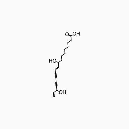 C=CC(O)C#CC#C/C=C/C(O)CCCCCCCC(=O)O